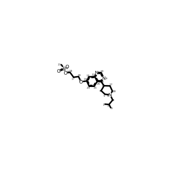 C[C](C)CN1CCC(c2ncnc3cc(OCCCOS(C)(=O)=O)ccc23)CC1